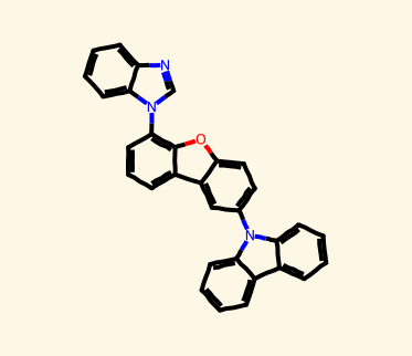 c1ccc2c(c1)ncn2-c1cccc2c1oc1ccc(-n3c4ccccc4c4ccccc43)cc12